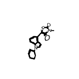 CN1C(=O)SC(c2cccc3c2ccn3C2CCCCC2)C1=O